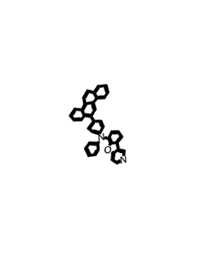 c1ccc(N(c2ccc(-c3cc4c5ccccc5ccc4c4ccccc34)cc2)c2cccc3c2oc2ccncc23)cc1